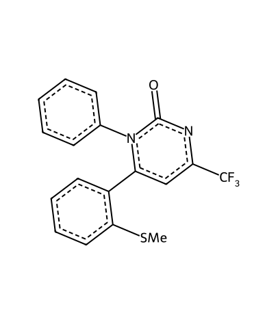 CSc1ccccc1-c1cc(C(F)(F)F)nc(=O)n1-c1ccccc1